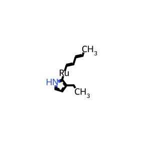 CC=CC=[CH][Ru][c]1[nH]ccc1CC